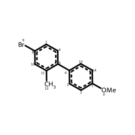 COc1ccc(-c2ccc(Br)cc2C)cc1